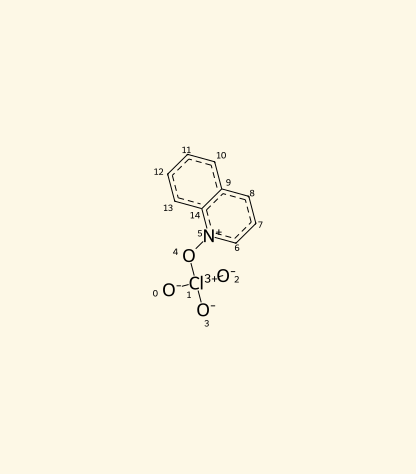 [O-][Cl+3]([O-])([O-])O[n+]1cccc2ccccc21